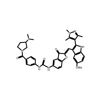 COc1ccc2[nH]c(-c3c(C)nn(C)c3C)c(/C=C3\Oc4ccc(NC(=O)Nc5ccc(C(=O)N6CCC(N(C)C)C6)cc5)cc4C3=O)c2c1